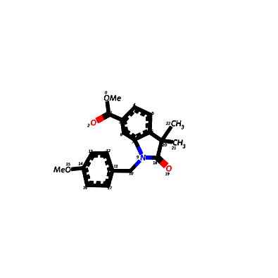 COC(=O)c1ccc2c(c1)N(Cc1ccc(OC)cc1)C(=O)C2(C)C